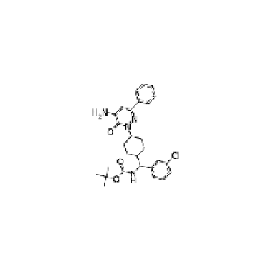 CC(C)(C)OC(=O)NC(c1cccc(Cl)c1)C1CCC(n2nc(-c3ccccc3)cc(N)c2=O)CC1